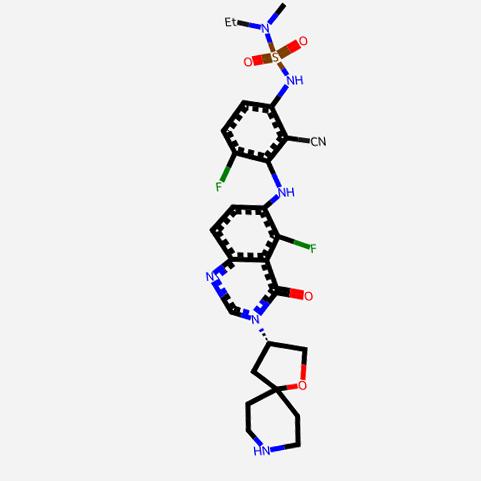 CCN(C)S(=O)(=O)Nc1ccc(F)c(Nc2ccc3ncn([C@@H]4COC5(CCNCC5)C4)c(=O)c3c2F)c1C#N